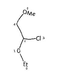 CCOC(Cl)COC